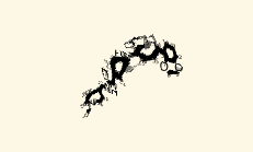 COC1NC(C2=C3OCCOC3CCC2)=CC=C1Nc1ccc(CC(=O)NCC2CCN(C)CC2)cc1